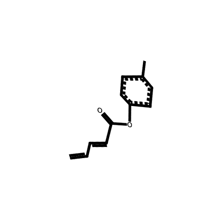 C=CC=CC(=O)Oc1ccc(C)cc1